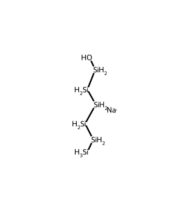 O[SiH2][SiH2][SiH2][SiH2][SiH2][SiH3].[Na]